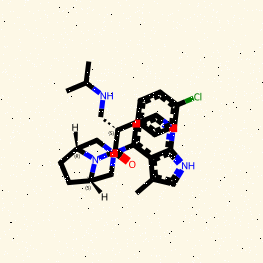 Cc1c[nH]c2nccc(N3C[C@H]4CC[C@@H](C3)N4C(=O)[C@H](CNC(C)C)c3ccc(Cl)cc3)c12